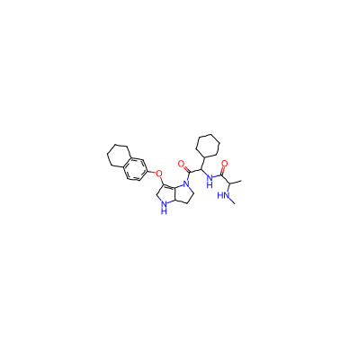 CNC(C)C(=O)NC(C(=O)N1CCC2NCC(Oc3ccc4c(c3)CCCC4)=C21)C1CCCCC1